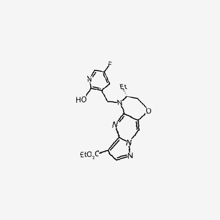 CCOC(=O)c1cnn2cc3c(nc12)N(Cc1cc(F)cnc1O)[C@H](CC)CO3